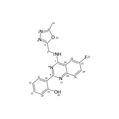 Cc1nnc(CNc2nc(-c3ccccc3O)nc3ccc(F)cc23)o1